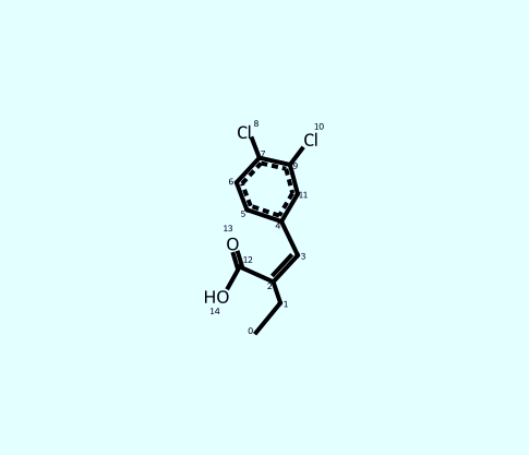 CCC(=Cc1ccc(Cl)c(Cl)c1)C(=O)O